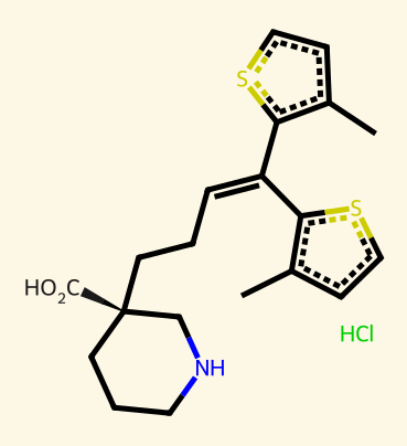 Cc1ccsc1C(=CCC[C@@]1(C(=O)O)CCCNC1)c1sccc1C.Cl